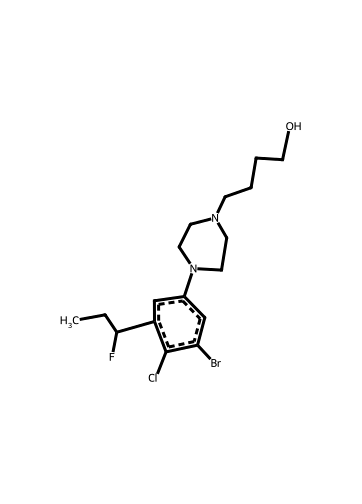 CCC(F)c1cc(N2CCN(CCCCO)CC2)cc(Br)c1Cl